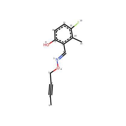 CC#CCON=Cc1c(O)ccc(F)c1C